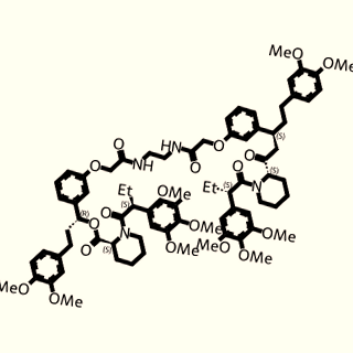 CC[C@H](C(=O)N1CCCC[C@H]1C(=O)C[C@H](CCc1ccc(OC)c(OC)c1)c1cccc(OCC(=O)NCCNC(=O)COc2cccc([C@@H](CCc3ccc(OC)c(OC)c3)OC(=O)[C@@H]3CCCCN3C(=O)[C@@H](CC)c3cc(OC)c(OC)c(OC)c3)c2)c1)c1cc(OC)c(OC)c(OC)c1